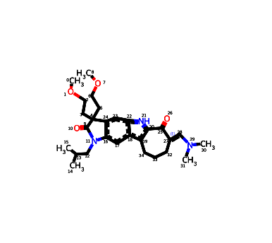 COCCC1(CCOC)C(=O)N(CC(C)C)c2cc3c4c([nH]c3cc21)C(=O)/C(=C/N(C)C)CCC4